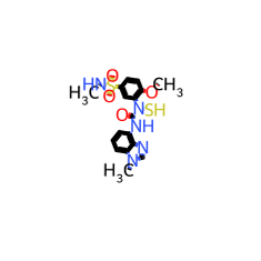 CNS(=O)(=O)c1ccc(OC)c(N(S)C(=O)Nc2cccc3c2ncn3C)c1